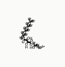 O=C(O)C(O)C(O)C(=O)O.O=[N+]([O-])[O-].O=[N+]([O-])[O-].O=[N+]([O-])[O-].O=[N+]([O-])[O-].O=[N+]([O-])[O-].[Li+].[Mn+2].[Ni+2]